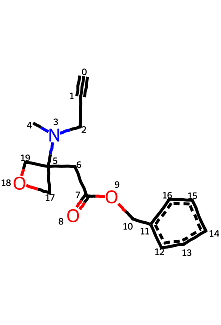 C#CCN(C)C1(CC(=O)OCc2ccccc2)COC1